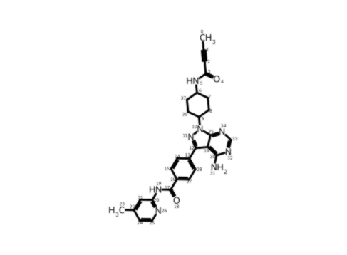 CC#CC(=O)NC1CCC(n2nc(-c3ccc(C(=O)Nc4cc(C)ccn4)cc3)c3c(N)ncnc32)CC1